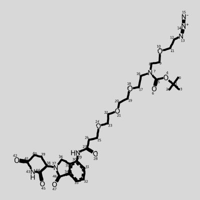 CC(C)(C)OC(=O)N(CCOCCN=[N+]=[N-])CCOCCOCCOCCC(=O)Nc1cccc2c1CN(C1CCC(=O)NC1=O)C2=O